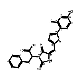 O=C(O)C(Cc1ccccc1)N1C(=O)/C(=C\c2ccc(-c3ccc(Cl)nc3Cl)o2)NC1=S